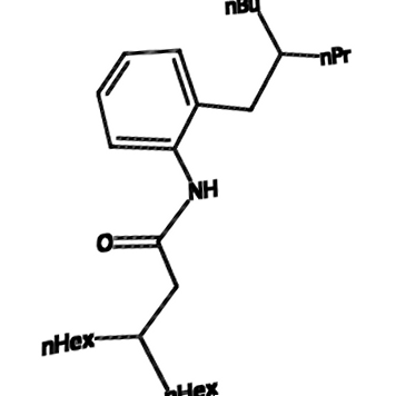 CCCCCCC(CCCCCC)CC(=O)Nc1ccccc1CC(CCC)CCCC